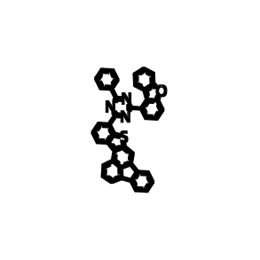 c1ccc(-c2nc(-c3cccc4c3sc3cc5c6c(cccc6c34)-c3ccccc3-5)nc(-c3cccc4oc5ccccc5c34)n2)cc1